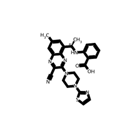 Cc1cc([C@@H](C)Nc2ccccc2C(=O)O)c2nc(N3CCN(c4nccs4)CC3)c(C#N)nc2c1